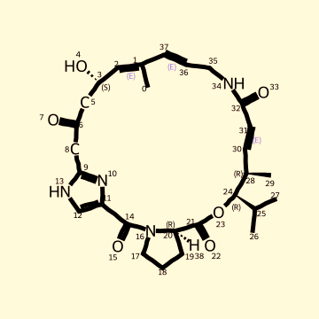 CC1=C\[C@@H](O)CC(=O)Cc2nc(c[nH]2)C(=O)N2CCC[C@@H]2C(=O)O[C@H](C(C)C)[C@H](C)/C=C/C(=O)NC\C=C\1